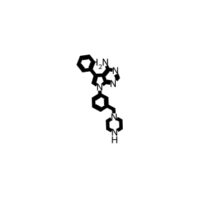 Nc1ncnc2c1c(-c1ccccc1)cn2-c1cccc(CN2CCNCC2)c1